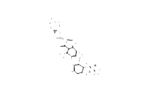 CCN(C)S(=O)(=O)Nc1ccc(F)c(Oc2ccc3ncn([C@H]4COC5(CCNCC5)C4)c(=O)c3c2N)c1C#N